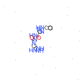 O=C(Nc1nc(N2CCC3=C(C2)NNN3)co1)c1cnc(NC2Cc3ccccc3C2)nc1